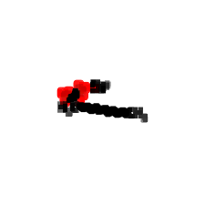 CCCCCCCCCCCCC(C)OC(CS(=O)(=O)[O-])CS(=O)(=O)[O-].[Na+].[Na+]